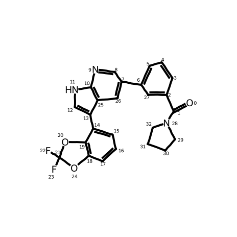 O=C(c1cccc(-c2cnc3[nH]cc(-c4cccc5c4OC(F)(F)O5)c3c2)c1)N1CCCC1